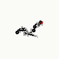 CC(C)C(NC(=O)C(CCCCN)NC(=S)Nc1cccc(-c2ccc(C[C@H](NS(=O)(=O)CC34CCC(CC3=O)C4(C)C)C(=O)O)cc2)c1)C(=O)O[C@]1(I)C(=O)OCc2c1cc1n(c2=O)Cc2cc3ccccc3nc2-1